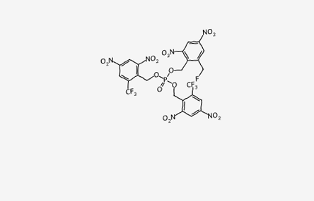 O=[N+]([O-])c1cc(CF)c(COP(=O)(OCc2c([N+](=O)[O-])cc([N+](=O)[O-])cc2C(F)(F)F)OCc2c([N+](=O)[O-])cc([N+](=O)[O-])cc2C(F)(F)F)c([N+](=O)[O-])c1